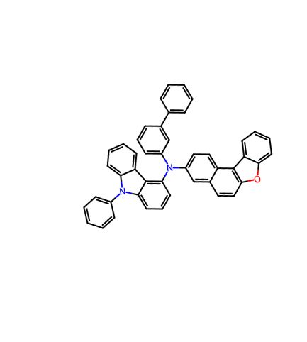 c1ccc(-c2cccc(N(c3ccc4c(ccc5oc6ccccc6c54)c3)c3cccc4c3c3ccccc3n4-c3ccccc3)c2)cc1